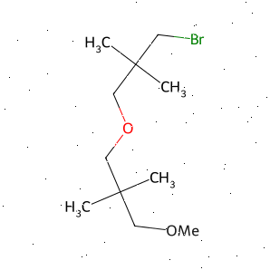 COCC(C)(C)COCC(C)(C)CBr